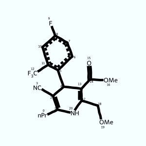 CCCC1=C(C#N)C(c2ccc(F)cc2C(F)(F)F)C(C(=O)OC)=C(COC)N1